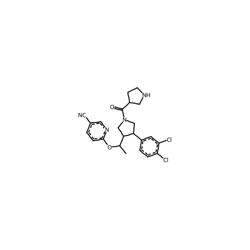 CC(Oc1ccc(C#N)cn1)C1CN(C(=O)C2CCNC2)CC1c1ccc(Cl)c(Cl)c1